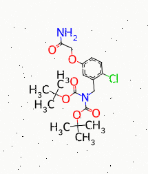 CC(C)(C)OC(=O)N(Cc1cc(OCC(N)=O)ccc1Cl)C(=O)OC(C)(C)C